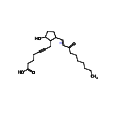 CCCCCCCC(=O)/C=C/C1CCC(O)C1CC#CCCCC(=O)O